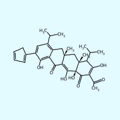 CC(=O)C1=C(O)C(C(C)C)[C@@]2(C)C[C@@]3(C)Cc4c(C(C)C)cc(C5=CC=CC5)c(O)c4C(=O)C3=C(O)[C@@]2(O)C1=O